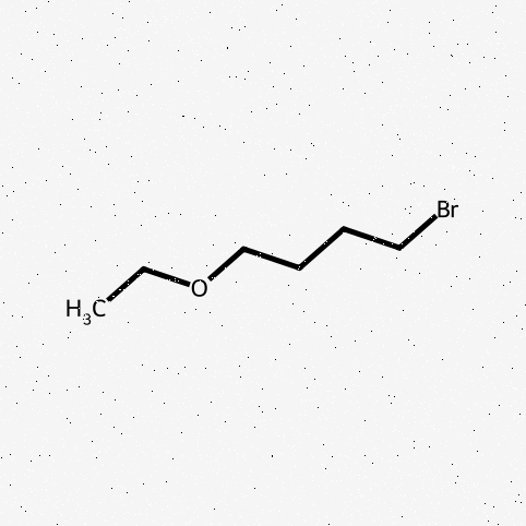 CCOCCCCBr